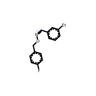 CCc1cccc(/[C]=N\OCc2ccc(F)cc2)c1